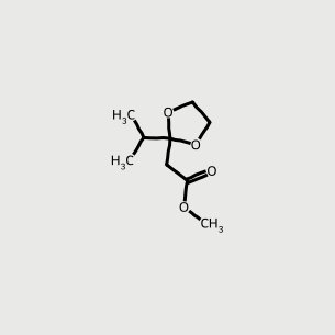 COC(=O)CC1(C(C)C)OCCO1